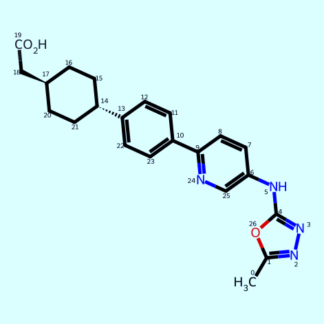 Cc1nnc(Nc2ccc(-c3ccc([C@H]4CC[C@H](CC(=O)O)CC4)cc3)nc2)o1